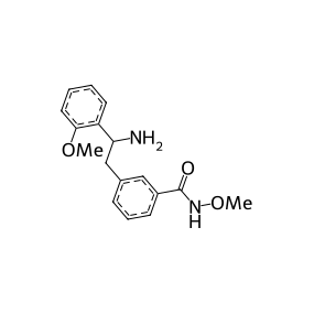 CONC(=O)c1cccc(CC(N)c2ccccc2OC)c1